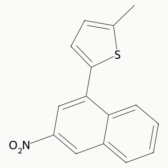 Cc1ccc(-c2cc([N+](=O)[O-])cc3ccccc23)s1